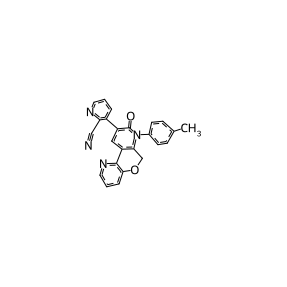 Cc1ccc(-n2c3c(cc(-c4cccnc4C#N)c2=O)-c2ncccc2OC3)cc1